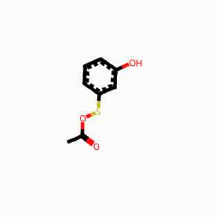 CC(=O)OSc1cccc(O)c1